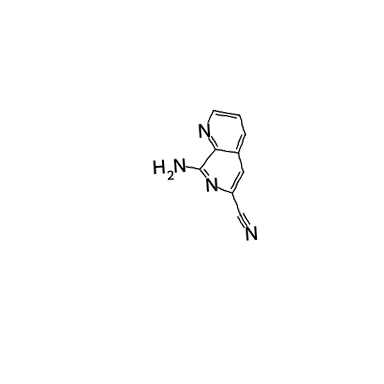 N#Cc1cc2cccnc2c(N)n1